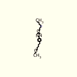 CCCC/C=C\CCOc1cnc(-c2ccc(CCCCCOCCC)cc2)nc1